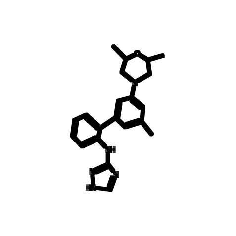 Cc1cc(-c2ccccc2Nc2nc[nH]n2)cc(N2CC(C)OC(C)C2)c1